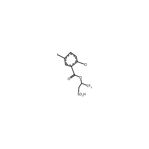 O=C(OC(CS(=O)(=O)O)C(F)(F)F)c1cc(I)ccc1Cl